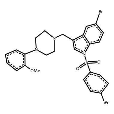 COc1ccccc1N1CCN(Cc2cn(S(=O)(=O)c3ccc(C(C)C)cc3)c3ccc(Br)cc23)CC1